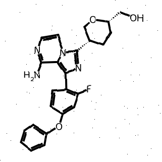 Nc1nccn2c([C@H]3CC[C@@H](CO)OC3)nc(-c3ccc(Oc4ccccc4)cc3F)c12